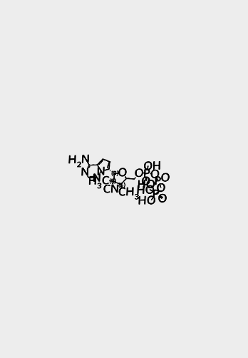 C[C@@H]1C(COP(=O)(O)OP(=O)(O)OP(=O)(O)O)O[C@@H](c2ccc3c(N)ncnn23)[C@]1(C)C#N